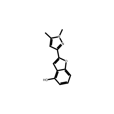 Cc1cc(-c2cc3c(O)cccc3o2)nn1C